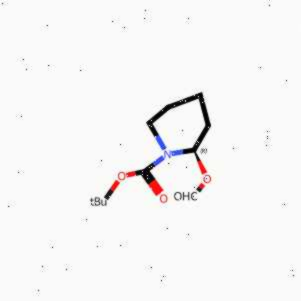 CC(C)(C)OC(=O)N1CCCC[C@H]1OC=O